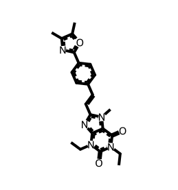 CCn1c(=O)c2c(nc(C=Cc3ccc(-c4nc(C)c(C)o4)cc3)n2C)n(CC)c1=O